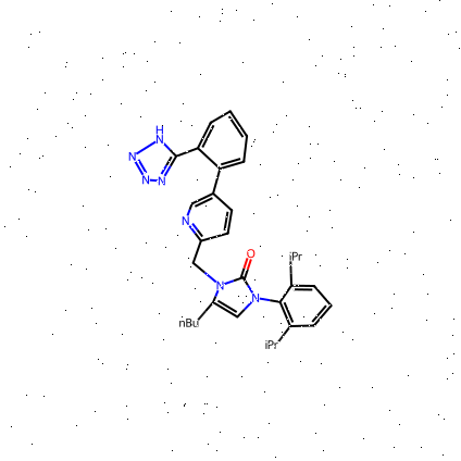 CCCCc1cn(-c2c(C(C)C)cccc2C(C)C)c(=O)n1Cc1ccc(-c2ccccc2-c2nnn[nH]2)cn1